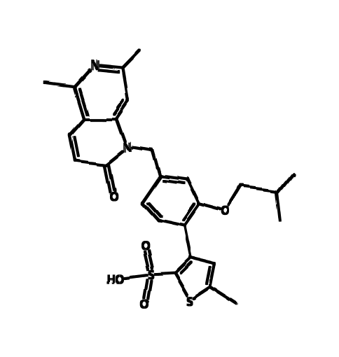 Cc1cc2c(ccc(=O)n2Cc2ccc(-c3cc(C)sc3S(=O)(=O)O)c(OCC(C)C)c2)c(C)n1